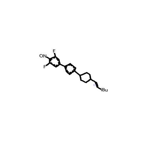 CCC(C)/C=C/C1CCC(c2ccc(-c3cc(F)c(N=O)c(F)c3)cc2)CC1